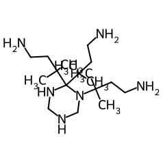 CC(C)(CCN)N1CNCNC1(C(C)(C)CCN)C(C)(C)CCN